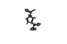 CC(=O)n1ccc(C(=O)O)c1